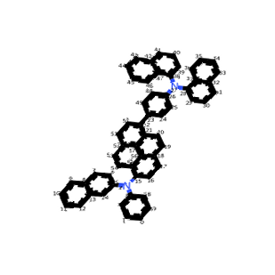 c1ccc(N(c2ccc3ccccc3c2)c2ccc3ccc4c(-c5ccc(N(c6cccc7ccccc67)c6cccc7ccccc67)cc5)ccc5ccc2c3c54)cc1